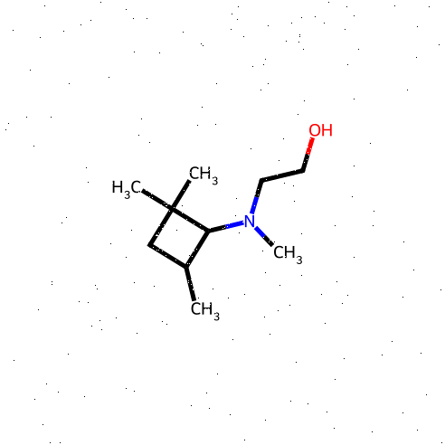 CC1CC(C)(C)C1N(C)CCO